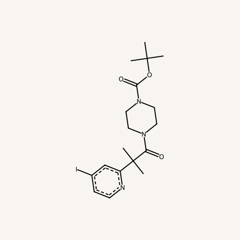 CC(C)(C)OC(=O)N1CCN(C(=O)C(C)(C)c2cc(I)ccn2)CC1